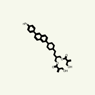 C=C(CO)C(=O)OCC(CCC1CCC(c2ccc3cc(-c4ccc(CCC)cc4)ccc3c2)CC1)COC(=O)C(=C)CO